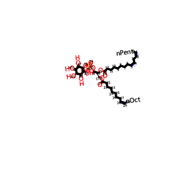 CCCCC/C=C\C/C=C\CCCCCCCC(=O)O[C@H](COC(=O)CCCCCCC/C=C\CCCCCCCC)COP(=O)(O)OC1[C@H](O)[C@H](O)C(O)[C@H](O)[C@H]1O